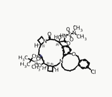 CN(C)S(=O)(=O)NC(=O)[C@@]1(O)CC(=O)N2CC[C@@H]2C/C=C/C(O[Si](C)(C)C(C)(C)C)[C@@H]2CC[C@H]2CN2CCCCc3cc(Cl)ccc3COc3ccc1cc32